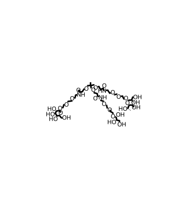 C[C@H](O)C(CO)OC(OCCOCCOCCNC(=O)CCOCC(C)(COCCC(=O)NCCOCCOCCOC1OC(CO)C(O)C(O)C1O)COCCC(=O)NCCOCCOCCOC(O)[C@H](O)CO)[C@H](O)CO